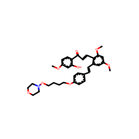 COc1ccc(C(=O)/C=C/c2c(/C=C/c3ccc(OCCCCON4CCOCC4)cc3)cc(OC)cc2OC)c(O)c1